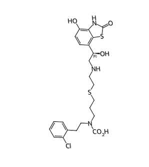 O=C(O)N(CCCSCCNC[C@H](O)c1ccc(O)c2[nH]c(=O)sc12)CCc1ccccc1Cl